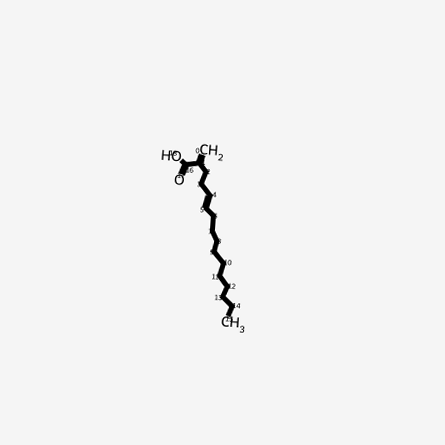 C=C(CC/C=C/CCCCCCCCCC)C(=O)O